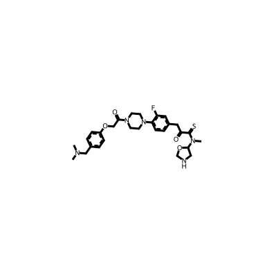 CN(C)Cc1ccc(OCC(=O)N2CCN(c3ccc(CC(=O)C(=S)N(C)C4CNCO4)cc3F)CC2)cc1